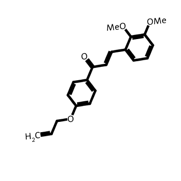 C=CCOc1ccc(C(=O)C=Cc2cccc(OC)c2OC)cc1